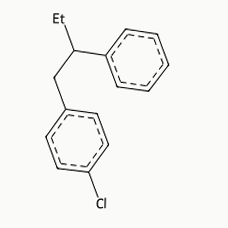 CCC(Cc1ccc(Cl)cc1)c1ccccc1